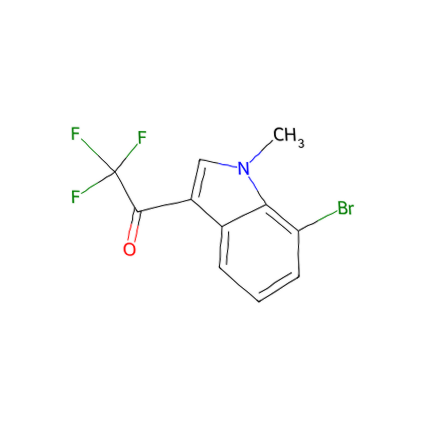 Cn1cc(C(=O)C(F)(F)F)c2cccc(Br)c21